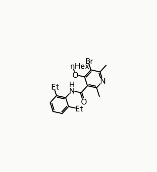 CCCCCCOc1c(Br)c(C)nc(C)c1C(=O)Nc1c(CC)cccc1CC